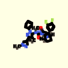 COCCN1[C@@H]2CC[C@H]1[C@@H](c1ccc(F)c(F)c1)[C@@H]2NC(=O)Nc1c(C)c(-c2cnn(C)c2)nn1-c1ccccc1